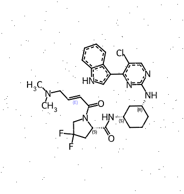 CN(C)C/C=C/C(=O)N1CC(F)(F)C[C@H]1C(=O)N[C@H]1CCC[C@@H](Nc2ncc(Cl)c(-c3c[nH]c4ccccc34)n2)C1